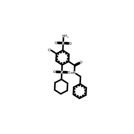 NS(=O)(=O)c1cc(C(=O)NCc2ccccc2)c(S(=O)(=O)C2CCCCC2)cc1Cl